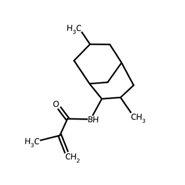 C=C(C)C(=O)BC1C(C)CC2CC(C)CC1C2